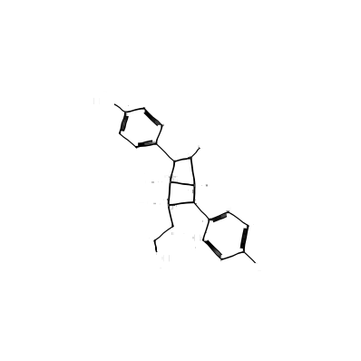 CCc1ccc(C2[C@]3(O)C(O)C(c4ccc(C)cc4)[C@]3(O)[C@]2(O)[C@H](O)CO)cc1